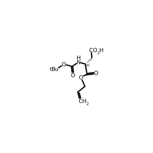 C=CCOC(=O)[C@@H](CC(=O)O)NC(=O)OC(C)(C)C